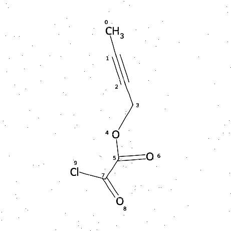 CC#CCOC(=O)C(=O)Cl